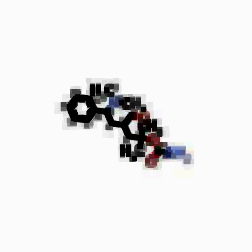 CN(C)C(CC(C=O)CC(C)(C)OC(N)=O)c1ccccc1